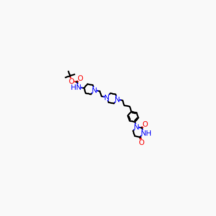 CC(C)(C)OC(=O)NC1CCN(CCN2CCN(CCCc3ccc(N4CCC(=O)NC4=O)cc3)CC2)CC1